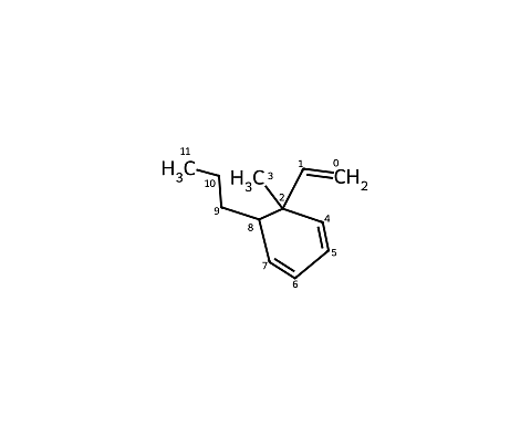 C=CC1(C)C=CC=CC1CCC